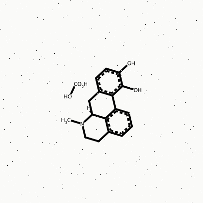 CN1CCc2cccc3c2[C@H]1Cc1ccc(O)c(O)c1-3.O=C(O)O